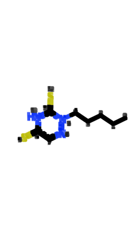 CCCCCn1ncc(=S)[nH]c1=S